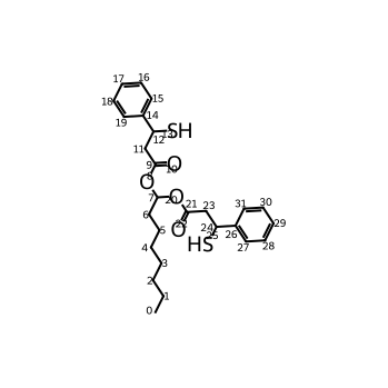 CCCCCCCC(OC(=O)CC(S)c1ccccc1)OC(=O)CC(S)c1ccccc1